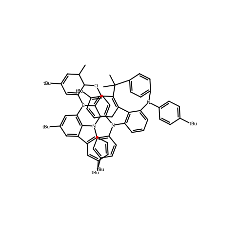 CC1C=C(C(C)(C)C)C=C2B3C4=C(OC21)C1=C(CC4n2c4ccc(C(C)(C)C)cc4c4cc(C(C)(C)C)cc3c42)c2c(N(c3ccc(C(C)(C)C)cc3)c3ccc(C(C)(C)C)cc3)cccc2N(c2ccc(C(C)(C)C)cc2)c2ccc(cc2)C1(C)C